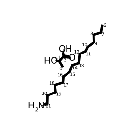 CC(O)C(=O)O.CCCCCCCCCCCCCCCCN